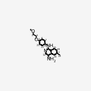 COCCOc1ccc(Nc2ncc(N)c3[c]c(C)ccc23)cc1